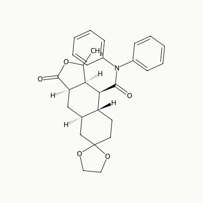 CC1OC(=O)[C@@H]2C[C@@H]3CC4(CC[C@H]3[C@H](C(=O)N(c3ccccc3)c3ccccc3)[C@H]12)OCCO4